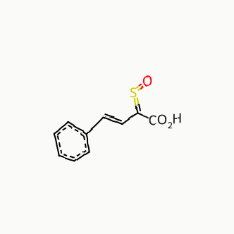 O=S=C(C=Cc1ccccc1)C(=O)O